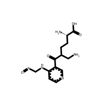 NCC(CC[C@H](N)C(=O)O)C(=O)c1cnccc1NCN=O